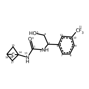 O=C(NC(CO)c1cccc(C(F)(F)F)c1)NC12CC(C1)C2